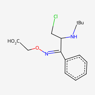 CC(C)(C)NC(CCl)C(=NOCC(=O)O)c1ccccc1